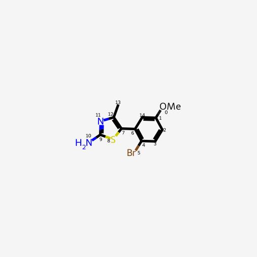 COc1ccc(Br)c(-c2sc(N)nc2C)c1